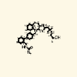 CNC(=O)NCc1ccccc1-c1ccc(CN2C(=O)[C@H](NC(=O)CC(C)(C)NC[C@@H](C)O)CCc3ccccc32)cc1